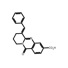 O=C(O)c1ccc2c(=O)n3c(nc2c1)/C(=C/c1ccccc1)CCC3